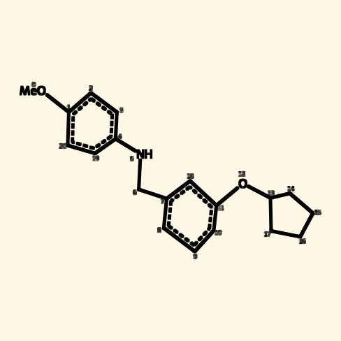 COc1ccc(NCc2cccc(OC3CCCC3)c2)cc1